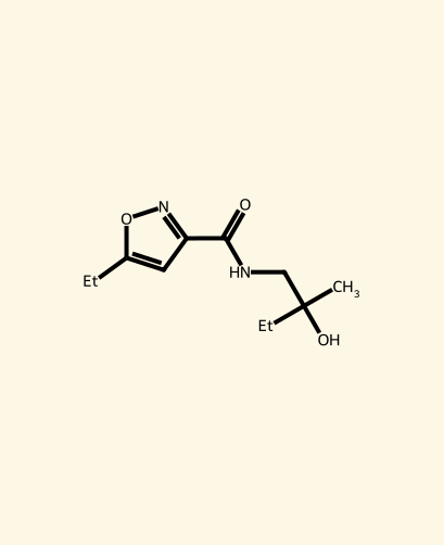 CCc1cc(C(=O)NCC(C)(O)CC)no1